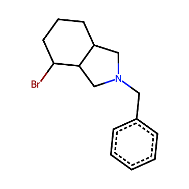 BrC1CCCC2CN(Cc3ccccc3)CC12